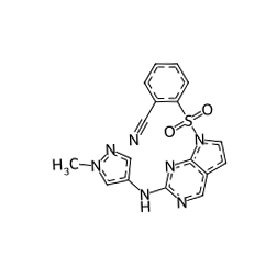 Cn1cc(Nc2ncc3ccn(S(=O)(=O)c4ccccc4C#N)c3n2)cn1